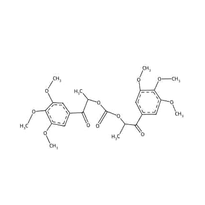 COc1cc(C(=O)C(C)OC(=O)OC(C)C(=O)c2cc(OC)c(OC)c(OC)c2)cc(OC)c1OC